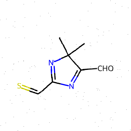 CC1(C)N=C(C=S)N=C1C=O